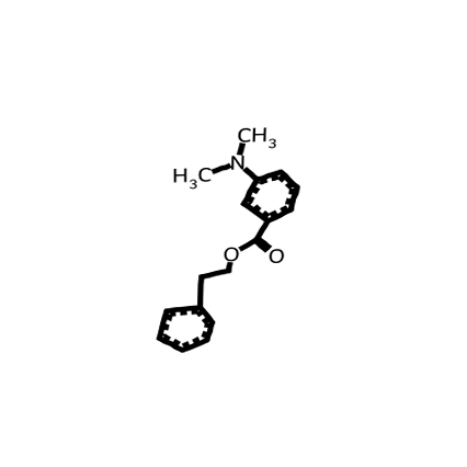 CN(C)c1cccc(C(=O)OCCc2ccccc2)c1